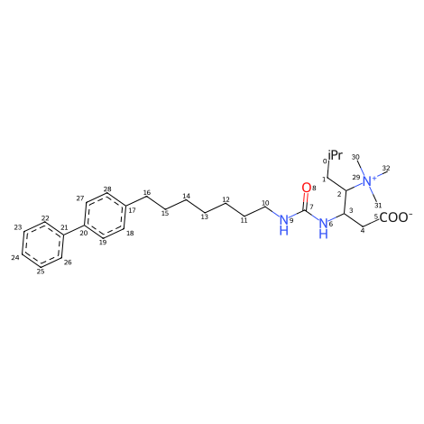 CC(C)CC(C(CC(=O)[O-])NC(=O)NCCCCCCCc1ccc(-c2ccccc2)cc1)[N+](C)(C)C